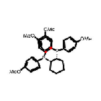 COc1ccc(P(c2ccc(OC)cc2)[C@@H]2CCCC[C@H]2P(c2ccc(OC)cc2)c2ccc(OC)cc2)cc1